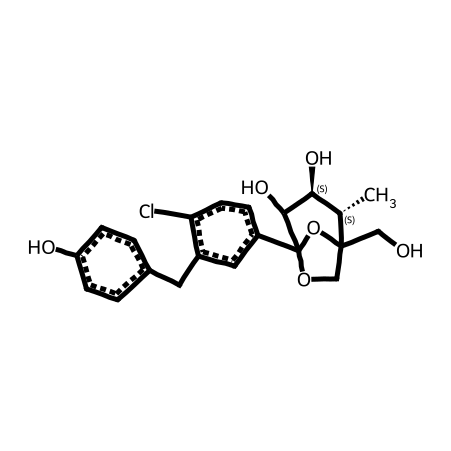 C[C@H]1[C@H](O)C(O)C2(c3ccc(Cl)c(Cc4ccc(O)cc4)c3)OCC1(CO)O2